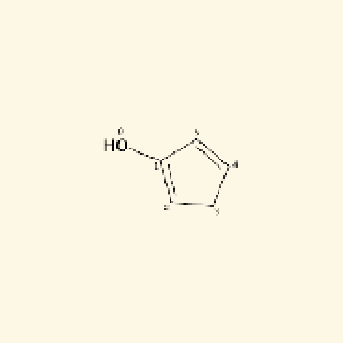 OC1=CCC=C1